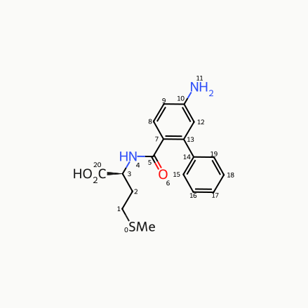 CSCC[C@H](NC(=O)c1ccc(N)cc1-c1ccccc1)C(=O)O